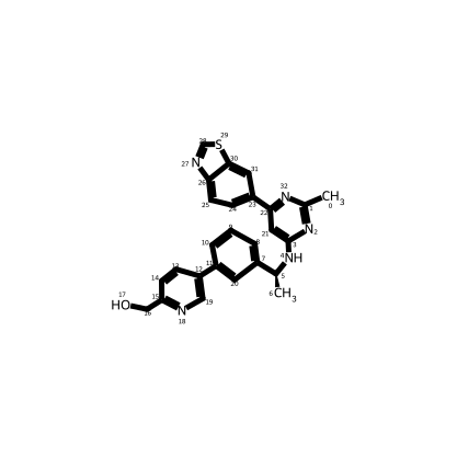 Cc1nc(N[C@@H](C)c2cccc(-c3ccc(CO)nc3)c2)cc(-c2ccc3ncsc3c2)n1